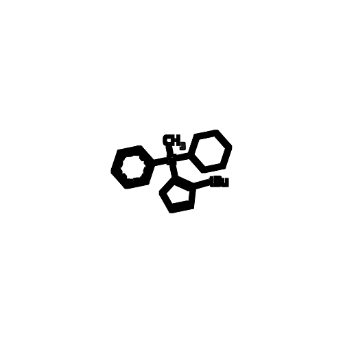 CC(C)(C)C1=C([Si](C)(c2ccccc2)C2CCCCC2)CC=C1